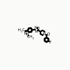 Cc1nn(C)c2cc(-c3noc(C4CCN(C(=O)c5cccc(F)c5)CC4)n3)ccc12